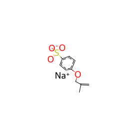 C=C(C)COc1ccc(S(=O)(=O)[O-])cc1.[Na+]